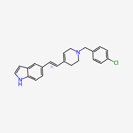 Clc1ccc(CN2CC=C(/C=C/c3ccc4[nH]ccc4c3)CC2)cc1